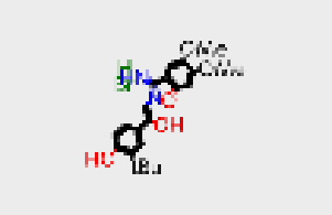 Br.COc1cc2on(C=C(O)c3ccc(O)c(C(C)(C)C)c3)c(=N)c2cc1OC